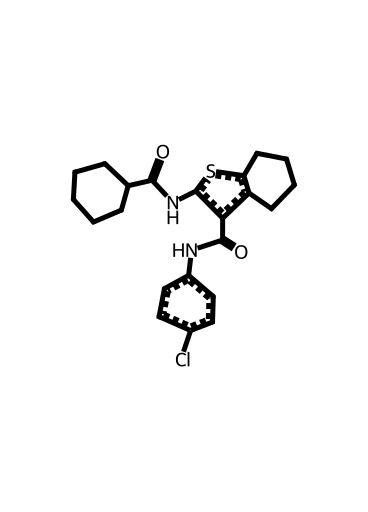 O=C(Nc1ccc(Cl)cc1)c1c(NC(=O)C2CCCCC2)sc2c1CCCC2